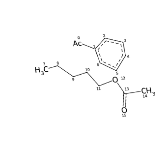 CC(=O)c1ccccc1.CCCCCOC(C)=O